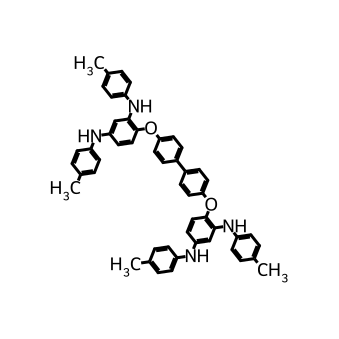 Cc1ccc(Nc2ccc(Oc3ccc(-c4ccc(Oc5ccc(Nc6ccc(C)cc6)cc5Nc5ccc(C)cc5)cc4)cc3)c(Nc3ccc(C)cc3)c2)cc1